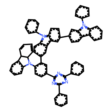 C1=CC2c3ccccc3N(c3ccc(-c4nc(-c5ccccc5)nc(-c5ccccc5)n4)cc3-c3ccc4c(c3)c3cc(-c5ccc6c7ccccc7n(-c7ccccc7)c6c5)ccc3n4-c3ccccc3)C2C=C1